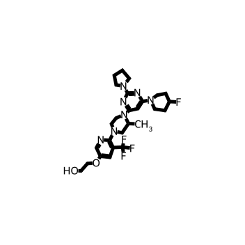 CC1CN(c2ncc(OCCO)cc2C(F)(F)F)CCN1c1cc(N2CCC(F)CC2)nc(N2CCCC2)n1